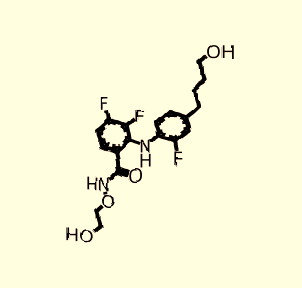 O=C(NOCCO)c1ccc(F)c(F)c1Nc1ccc(CCCCO)cc1F